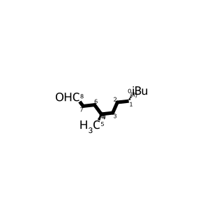 CC[C@@H](C)CCC[C@@H](C)CCC=O